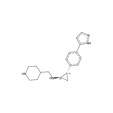 c1cc(-c2ccc([C@@H]3C[C@H]3NCC3CCNCC3)cc2)[nH]n1